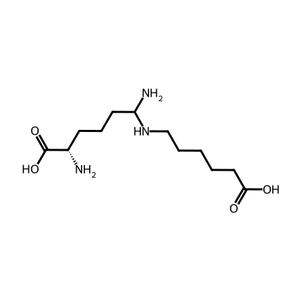 NC(CCC[C@H](N)C(=O)O)NCCCCCC(=O)O